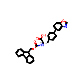 O=C(N[C@@H](Cc1ccc(-c2ccc3ocnc3c2)cc1)C(=O)O)OCC1c2ccccc2-c2ccccc21